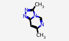 Cc1cc2nnc(C)n2cn1